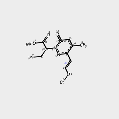 CCO/C=C/c1nn([C@@H](CC(C)C)C(=O)OC)c(=O)cc1C(F)(F)F